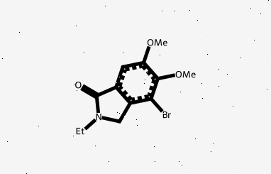 CCN1Cc2c(cc(OC)c(OC)c2Br)C1=O